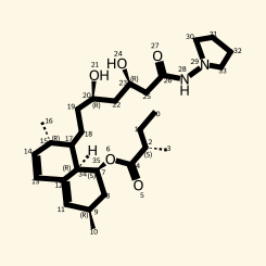 CC[C@H](C)C(=O)O[C@H]1C[C@@H](C)C=C2C=C[C@H](C)C(CC[C@@H](O)C[C@@H](O)CC(=O)NN3CCCC3)[C@H]21